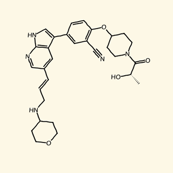 C[C@H](O)C(=O)N1CCC(Oc2ccc(-c3c[nH]c4ncc(/C=C/CNC5CCOCC5)cc34)cc2C#N)CC1